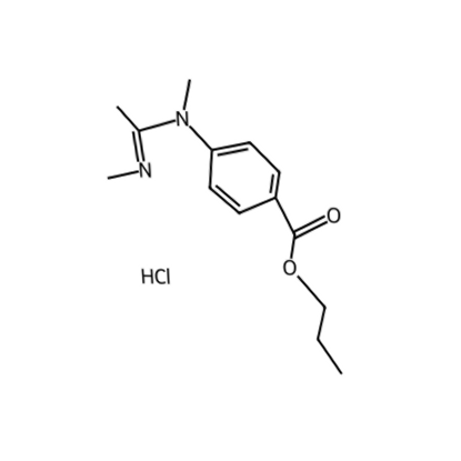 CCCOC(=O)c1ccc(N(C)C(C)=NC)cc1.Cl